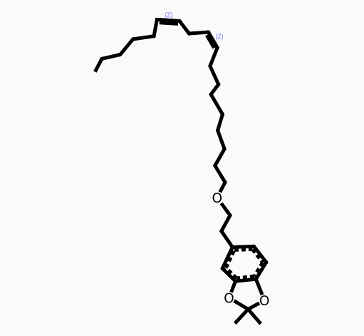 CCCCC/C=C\C/C=C\CCCCCCCCOCCc1ccc2c(c1)OC(C)(C)O2